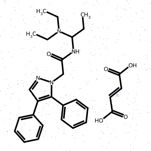 CCC(NC(=O)Cn1ncc(-c2ccccc2)c1-c1ccccc1)N(CC)CC.O=C(O)/C=C/C(=O)O